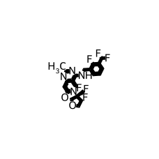 Cc1nc(NCc2cccc(C(F)F)c2F)c2cn(C3(C(F)(F)F)CCOC3)c(=O)cc2n1